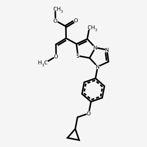 CO/C=C(/C(=O)OC)C1=C(C)N2N=CN(c3ccc(OCC4CC4)cc3)C2S1